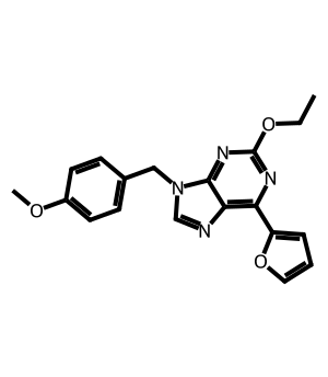 CCOc1nc(-c2ccco2)c2ncn(Cc3ccc(OC)cc3)c2n1